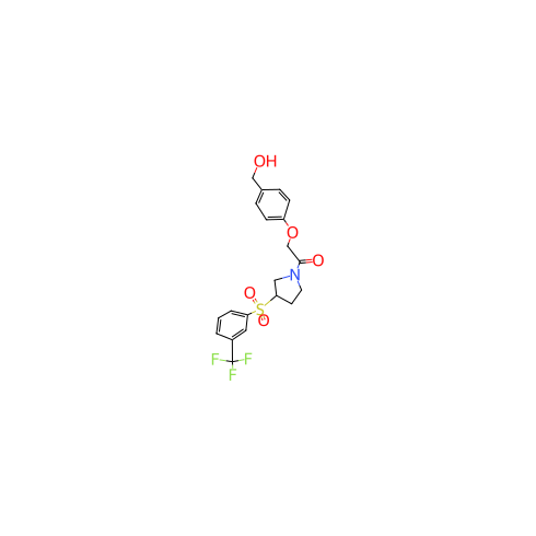 O=C(COc1ccc(CO)cc1)N1CCC(S(=O)(=O)c2cccc(C(F)(F)F)c2)C1